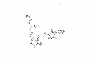 CCCC=CC(O)CC=C[C@H]1CCC(=O)[C@@H]1CCSc1nc(C(=O)O)cs1